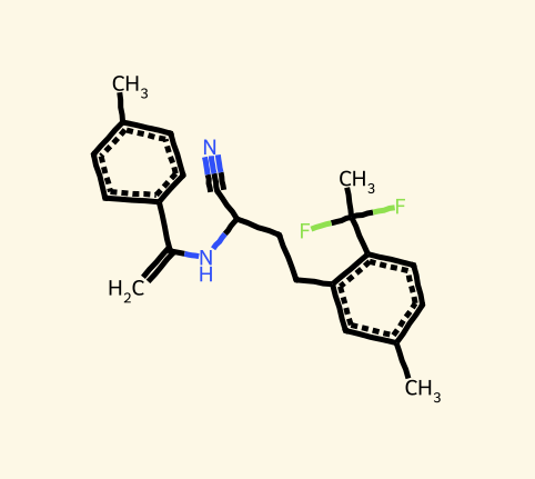 C=C(NC(C#N)CCc1cc(C)ccc1C(C)(F)F)c1ccc(C)cc1